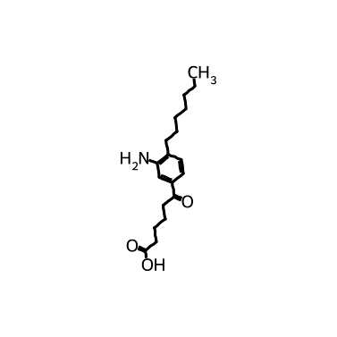 CCCCCCCc1ccc(C(=O)CCCCC(=O)O)cc1N